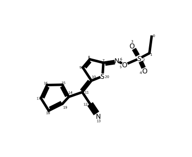 CCS(=O)(=O)ON=C1C=CC(=C(C#N)c2ccccc2)S1